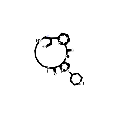 N=C/C1=C\NCCCCCNC(=O)c2nn(C3CCNCC3)cc2NC(=O)c2cccc1n2